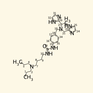 CCCN(CCC)CCCCNC(=O)Nc1ccc(CN(Cc2ncc[nH]2)C(C)c2ncc[nH]2)cc1